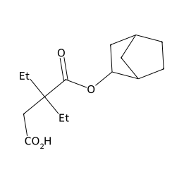 CCC(CC)(CC(=O)O)C(=O)OC1CC2CCC1C2